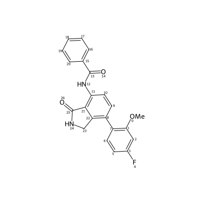 COc1cc(F)ccc1-c1ccc(NC(=O)c2ccccc2)c2c1CNC2=O